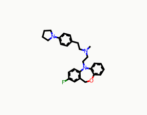 CN(CCc1ccc(N2CCCC2)cc1)CCN1c2ccc(F)cc2COc2ccccc21